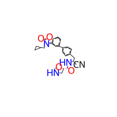 N#C[C@H](Cc1ccc(-c2ccc3oc(=O)n(CC4CC4)c3c2)cc1)NC(=O)[C@@H]1CNCO1